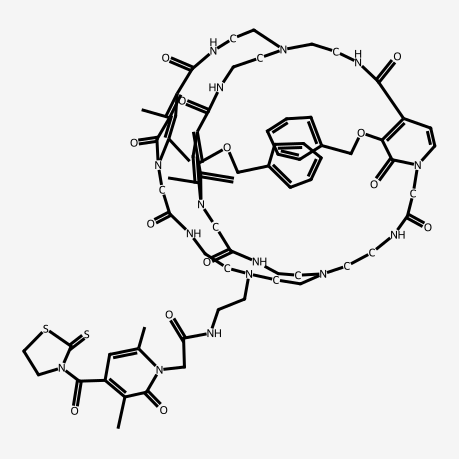 C=C1C(OCc2ccccc2)=C2C=C(C)N1CC(=O)NCCN1CCNC(=O)Cn3ccc(c(OCc4ccccc4)c3=O)C(=O)NCCN(CCNC2=O)CCNC(=O)c2cc(C)n(c(=O)c2C)CC(=O)NCCN(CCNC(=O)Cn2c(C)cc(C(=O)N3CCSC3=S)c(C)c2=O)CC1